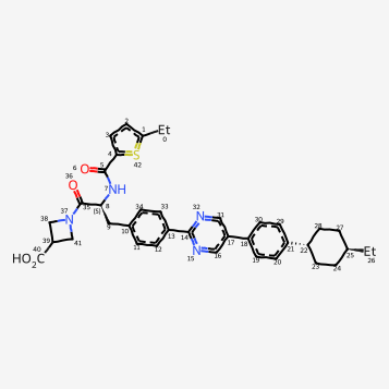 CCc1ccc(C(=O)N[C@@H](Cc2ccc(-c3ncc(-c4ccc([C@H]5CC[C@H](CC)CC5)cc4)cn3)cc2)C(=O)N2CC(C(=O)O)C2)s1